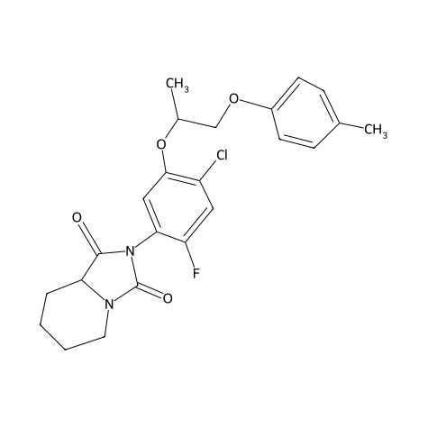 Cc1ccc(OCC(C)Oc2cc(N3C(=O)C4CCCCN4C3=O)c(F)cc2Cl)cc1